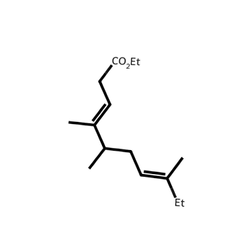 CCOC(=O)C/C=C(\C)C(C)C/C=C(\C)CC